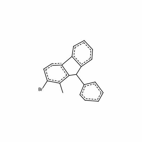 Cc1c(Br)ccc2c1C(c1ccccc1)c1ccccc1-2